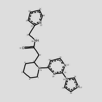 O=C(CC1CCCCN1c1ccnc(-n2ccnc2)n1)NCc1ccccn1